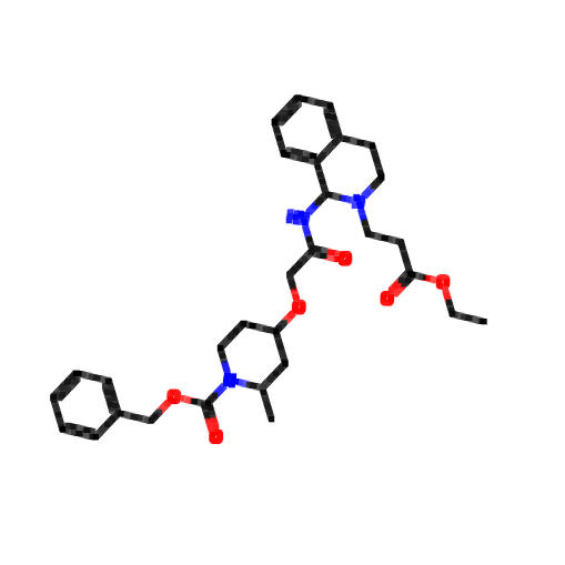 CCOC(=O)CCN1CCc2ccccc2C1NC(=O)COC1CCN(C(=O)OCc2ccccc2)C(C)C1